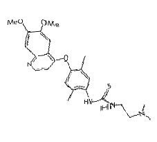 COc1cc2nccc(Oc3cc(C)c(NC(=S)NCCN(C)C)cc3C)c2cc1OC